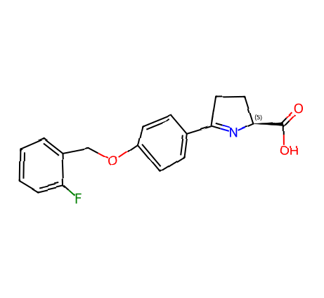 O=C(O)[C@@H]1CCC(c2ccc(OCc3ccccc3F)cc2)=N1